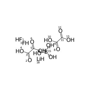 F.F.O=C(O)C(=O)O.O=C(O)C(=O)O.OB(O)O.[LiH]